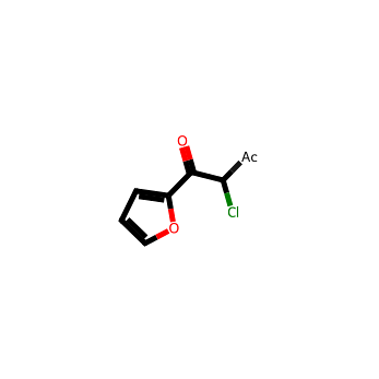 CC(=O)C(Cl)C(=O)c1ccco1